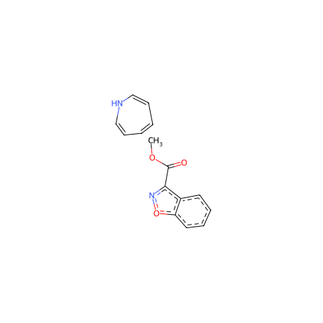 C1=CC=CNC=C1.COC(=O)c1noc2ccccc12